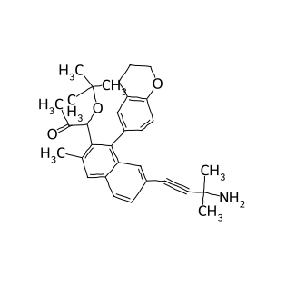 CC(=O)C(OC(C)(C)C)c1c(C)cc2ccc(C#CC(C)(C)N)cc2c1-c1ccc2c(c1)CCCO2